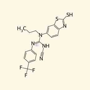 CCCN(/C(=N/c1ccc(C(F)(F)F)cc1)NC#N)c1ccc2nc(S)sc2c1